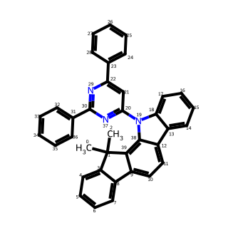 CC1(C)c2ccccc2-c2ccc3c4ccccc4n(-c4cc(-c5ccccc5)nc(-c5ccccc5)n4)c3c21